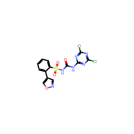 O=C(Nc1nc(Cl)nc(Cl)n1)NS(=O)(=O)c1ccccc1-c1cnoc1